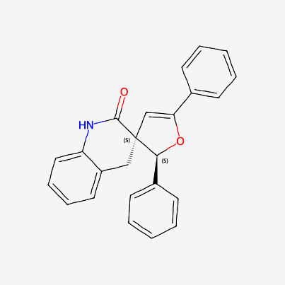 O=C1Nc2ccccc2C[C@@]12C=C(c1ccccc1)O[C@H]2c1ccccc1